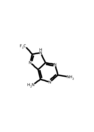 Nc1nc(N)c2nc(C(F)(F)F)[nH]c2n1